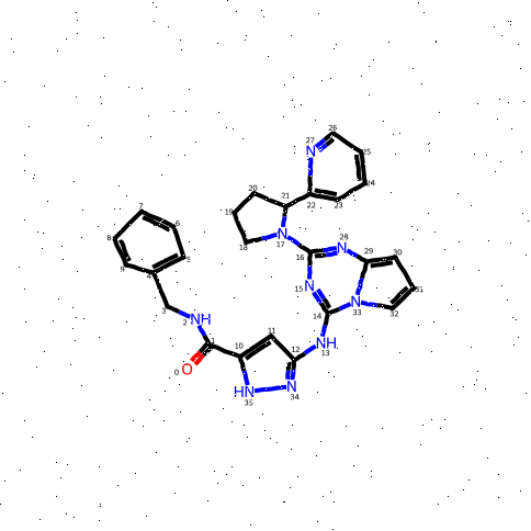 O=C(NCc1ccccc1)c1cc(Nc2nc(N3CCCC3c3ccccn3)nc3cccn23)n[nH]1